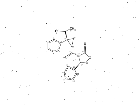 CC(C)[C@@]1(c2ccccc2)C[C@@H]1C(=O)N1C(=O)OC[C@H]1c1ccccc1